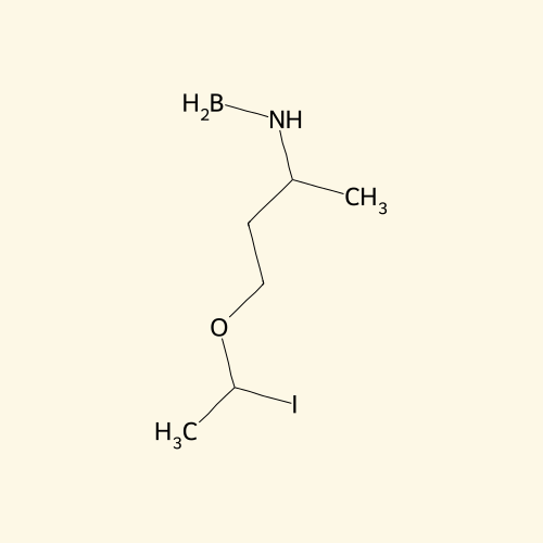 BNC(C)CCOC(C)I